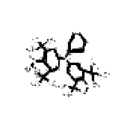 COc1c(C(C)(C)C)cc(P(c2ccccc2)c2cc(C(C)(C)C)c(OC)c(C(C)(C)C)c2)cc1C(C)(C)C